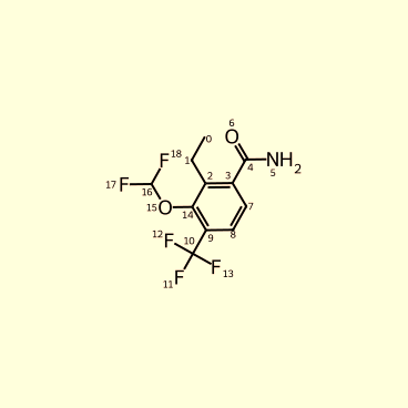 CCc1c(C(N)=O)ccc(C(F)(F)F)c1OC(F)F